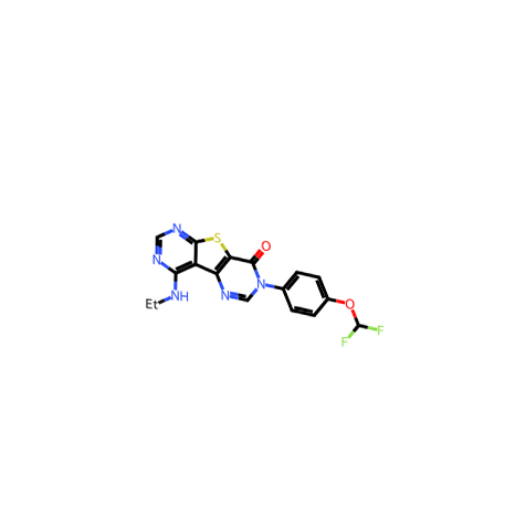 CCNc1ncnc2sc3c(=O)n(-c4ccc(OC(F)F)cc4)cnc3c12